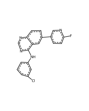 Fc1ccc(-c2ccc3ncnc(Nc4cccc(Cl)c4)c3c2)cn1